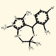 Cc1cc(Br)ccc1C1SC(C)(C)CNc2c1c(C)nn2C